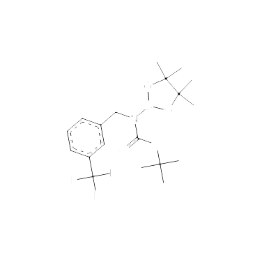 CC(C)(C)OC(=O)N(Cc1cccc(C(F)(F)F)c1)B1OC(C)(C)C(C)(C)O1